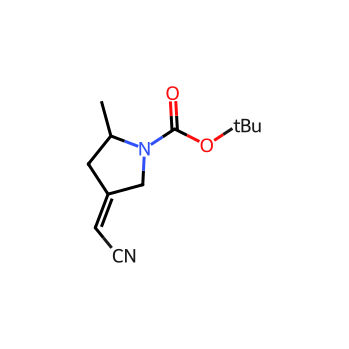 CC1C/C(=C/C#N)CN1C(=O)OC(C)(C)C